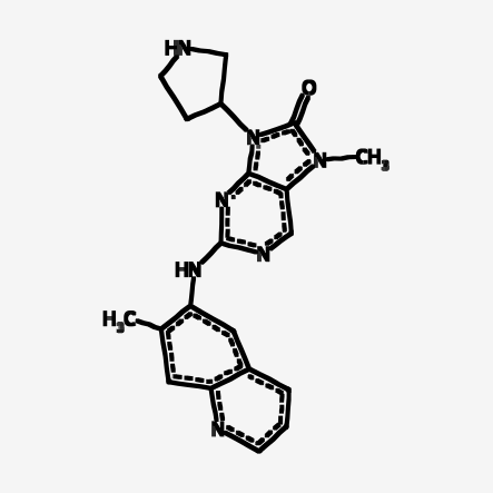 Cc1cc2ncccc2cc1Nc1ncc2c(n1)n(C1CCNC1)c(=O)n2C